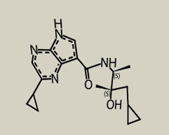 C[C@H](NC(=O)c1c[nH]c2ncc(C3CC3)nc12)[C@@](C)(O)CC1CC1